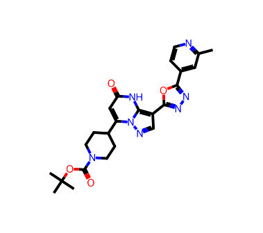 Cc1cc(-c2nnc(-c3cnn4c(C5CCN(C(=O)OC(C)(C)C)CC5)cc(=O)[nH]c34)o2)ccn1